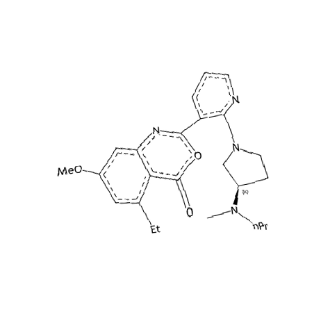 CCCN(C)[C@@H]1CCN(c2ncccc2-c2nc3cc(OC)cc(CC)c3c(=O)o2)C1